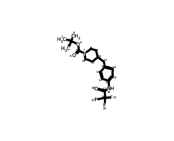 CC(C)(C)OC(=O)N1CCC(Cc2ccc(NC(=O)C(F)(F)F)cc2)CC1